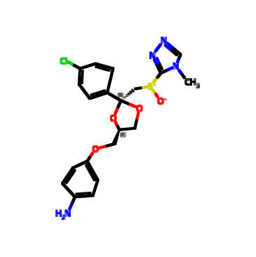 Cn1cnnc1[S+]([O-])C[C@]1(c2ccc(Cl)cc2)OC[C@@H](COc2ccc(N)cc2)O1